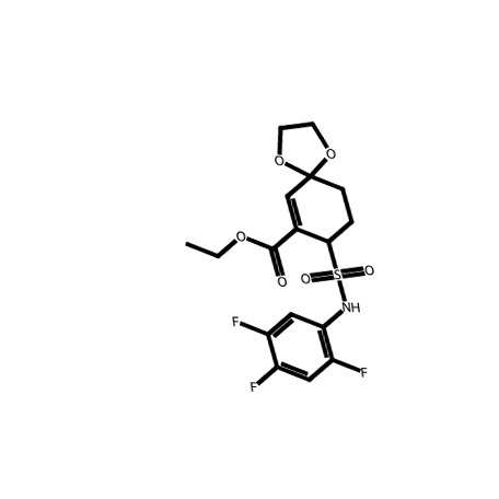 CCOC(=O)C1=CC2(CCC1S(=O)(=O)Nc1cc(F)c(F)cc1F)OCCO2